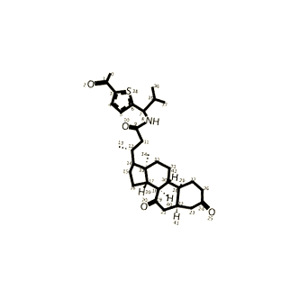 CC(=O)c1ccc(C(NC(=O)C[C@@H](C)C2CC[C@H]3[C@@H]4C(=O)C[C@@H]5CC(=O)CC[C@]5(C)[C@H]4CC[C@]23C)C(C)C)s1